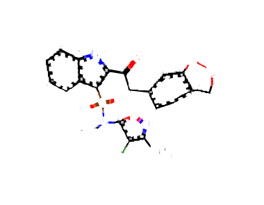 Cc1noc(N(C)S(=O)(=O)c2c(C(=O)Cc3ccc4c(c3)OOC4)[nH]c3ccccc23)c1Cl